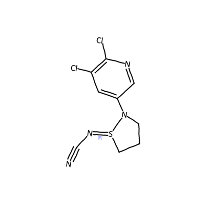 N#C/N=S1\CCCN1c1cnc(Cl)c(Cl)c1